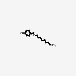 NCCCCCCCCOCc1ccc(Cl)cc1